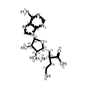 Nc1ncnc2c1ncn2[C@@H]1O[C@H](C[C@](N)(CCS)C(=O)O)[C@@H](O)[C@H]1O